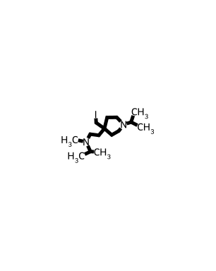 CC(C)N(C)CCC1(CI)CCN(C(C)C)CC1